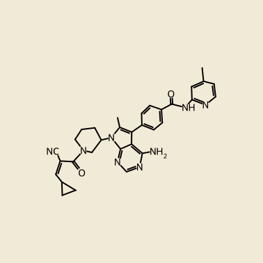 Cc1ccnc(NC(=O)c2ccc(-c3c(C)n(C4CCCN(C(=O)/C(C#N)=C\C5CC5)C4)c4ncnc(N)c34)cc2)c1